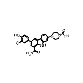 NC(=O)c1cc(-c2ccc(O)c(Cl)c2)cc2c1[nH]c1cc(N3CCN(C(=O)O)CC3)ccc12